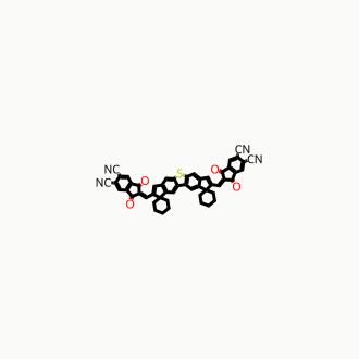 N#Cc1cc2c(cc1C#N)C(=O)C(=CC1=Cc3cc4sc5cc6c(cc5c4cc3C13CCCCC3)C1(CCCCC1)C(C=C1C(=O)c3cc(C#N)c(C#N)cc3C1=O)=C6)C2=O